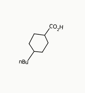 [CH2]CCCC1CCC(C(=O)O)CC1